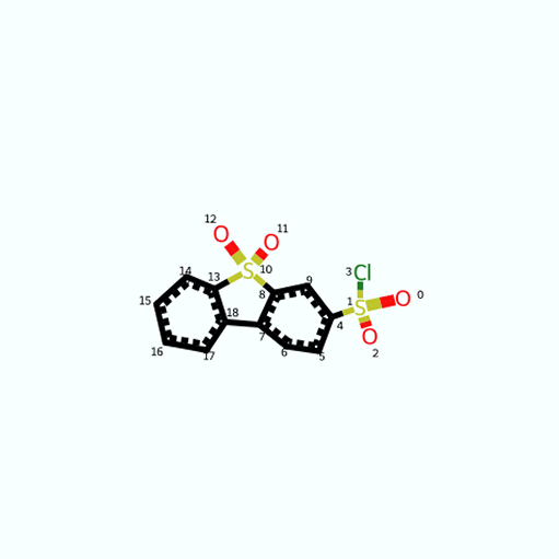 O=S(=O)(Cl)c1ccc2c(c1)S(=O)(=O)c1ccccc1-2